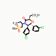 CC(C)(C)S(=O)(=O)CC(CC(F)(F)F)N1C(=O)[C@@H](CC(=O)O)O[C@H](c2cccc(Cl)c2)[C@H]1c1ccc(Cl)cc1